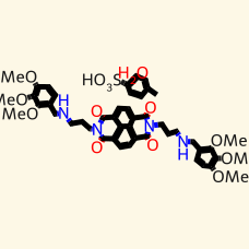 COc1ccc(CNCCCN2C(=O)c3ccc4c5c(ccc(c35)C2=O)C(=O)N(CCCNCc2ccc(OC)c(OC)c2OC)C4=O)c(OC)c1OC.Cc1ccc(S(=O)(=O)O)cc1.O